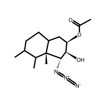 CC(=O)O[C@@H]1CC2CCC(C)C(C)[C@@]2(C)[C@@H](N=[N+]=[N-])[C@@H]1O